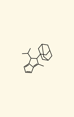 CC1=C2C=CC=C2C(C(C)C)C1C12CC3CC(CC(C3)C1)C2